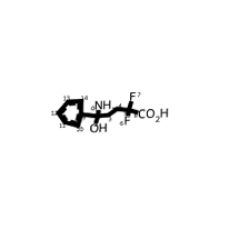 NC(O)(CCC(F)(F)C(=O)O)c1ccccc1